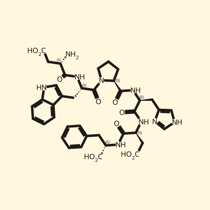 N[C@@H](CC(=O)O)C(=O)N[C@@H](Cc1c[nH]c2ccccc12)C(=O)N1CCC[C@H]1C(=O)N[C@@H](Cc1c[nH]cn1)C(=O)N[C@@H](CC(=O)O)C(=O)N[C@@H](Cc1ccccc1)C(=O)O